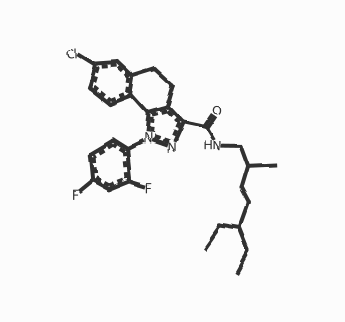 CCC(CC)CCC(C)CNC(=O)c1nn(-c2ccc(F)cc2F)c2c1CCc1cc(Cl)ccc1-2